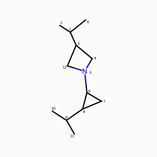 CC(C)C1CN(C2CC2C(C)C)C1